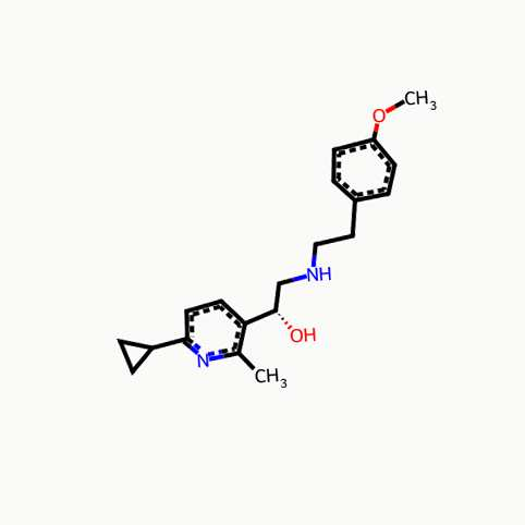 COc1ccc(CCNC[C@H](O)c2ccc(C3CC3)nc2C)cc1